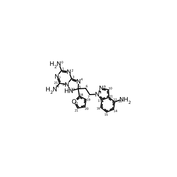 NC1=NC2=NC(CCn3ncc4c(N)cccc43)(c3ccco3)NN2C(N)=N1